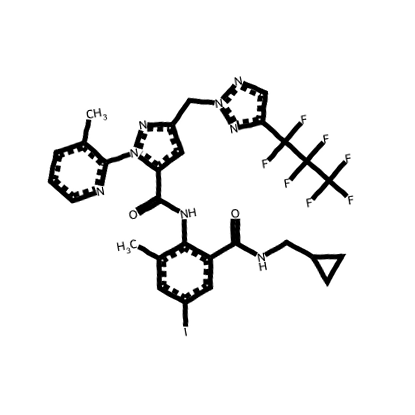 Cc1cccnc1-n1nc(Cn2ncc(C(F)(F)C(F)(F)C(F)(F)F)n2)cc1C(=O)Nc1c(C)cc(I)cc1C(=O)NCC1CC1